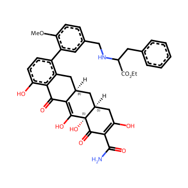 CCOC(=O)C(Cc1ccccc1)NCc1ccc(OC)c(-c2ccc(O)c3c2C[C@H]2C[C@H]4CC(O)=C(C(N)=O)C(=O)[C@@]4(O)C(O)=C2C3=O)c1